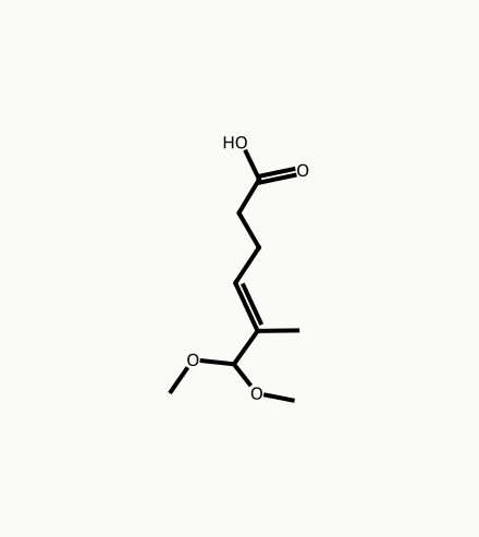 COC(OC)C(C)=CCCC(=O)O